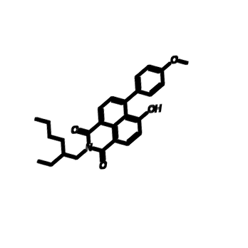 CCCCC(CC)CN1C(=O)c2ccc(O)c3c(-c4ccc(OC)cc4)ccc(c23)C1=O